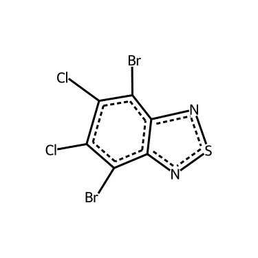 Clc1c(Cl)c(Br)c2nsnc2c1Br